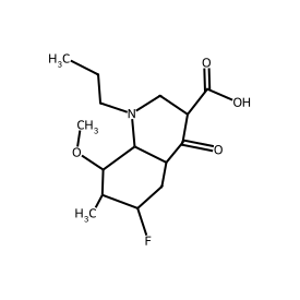 CCCN1CC(C(=O)O)C(=O)C2CC(F)C(C)C(OC)C21